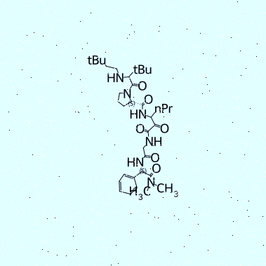 CCCC(NC(=O)[C@@H]1CCCN1C(=O)C(NCCC(C)(C)C)C(C)(C)C)C(=O)C(=O)NCC(=O)N[C@H](C(=O)N(C)C)c1ccccc1